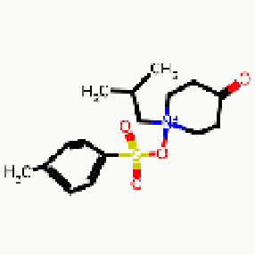 Cc1ccc(S(=O)(=O)O[N+]2(CC(C)C)CCC(=O)CC2)cc1